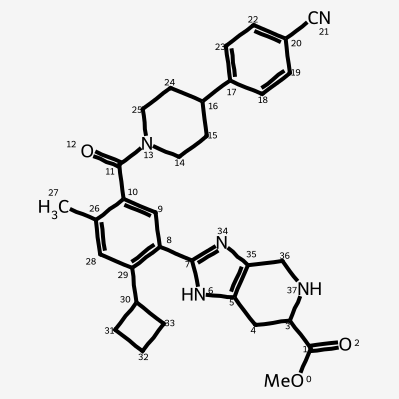 COC(=O)C1Cc2[nH]c(-c3cc(C(=O)N4CCC(c5ccc(C#N)cc5)CC4)c(C)cc3C3CCC3)nc2CN1